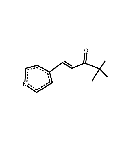 CC(C)(C)C(=O)C=Cc1ccncc1